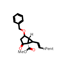 CCCCCC=CC1[C@H]2C(OCc3ccccc3)CC(=O)[C@]12C(=O)OC